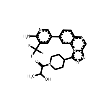 CC(O)C(=O)N1CCC(c2nnc3cnc4ccc(-c5cnc(N)c(C(F)(F)F)c5)cc4n23)CC1